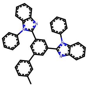 Cc1cccc(-c2cc(-c3nc4ccccc4n3-c3ccccc3)cc(-c3nc4ccccc4n3-c3ccccc3)c2)c1